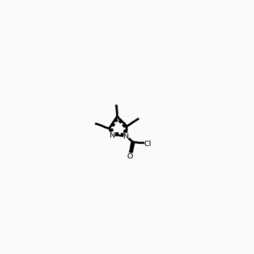 Cc1nn(C(=O)Cl)c(C)c1C